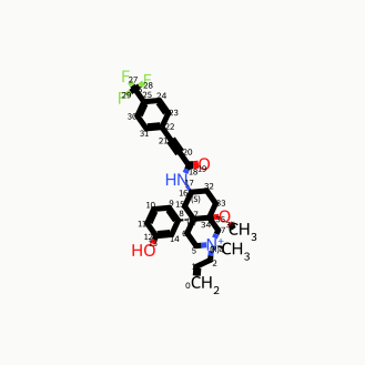 C=CC[N@@+]1(C)CC[C@@]2(c3cccc(O)c3)C[C@@H](NC(=O)C#Cc3ccc(C(F)(F)F)cc3)CCC2(OC)C1